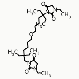 CCN1CC(=O)N(CC(CC)(CC)CCCCOCCCCC(CC)(CC)N2C(=O)CN(CC)C2=O)C1=O